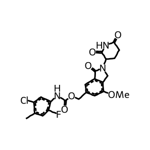 COc1cc(COC(=O)Nc2cc(Cl)c(C)cc2F)cc2c1CN(C1CCC(=O)NC1=O)C2=O